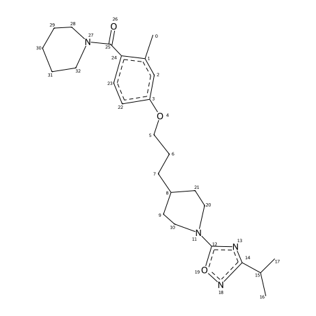 Cc1cc(OCCCC2CCN(c3nc(C(C)C)no3)CC2)ccc1C(=O)N1CCCCC1